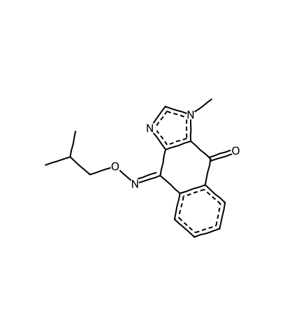 CC(C)CON=C1c2ccccc2C(=O)c2c1ncn2C